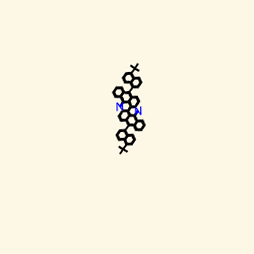 CC(C)(C)c1cccc2c(-c3c4ccccc4c4nc5ccc6c(-c7cccc8c(C(C)(C)C)cccc78)c7ccccc7c7nc8ccc3c4c8c5c67)cccc12